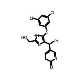 CC(C)C(C1=CCC(=O)N=C1)c1nc(CO)[nH]c1Sc1cc(Cl)cc(Cl)c1